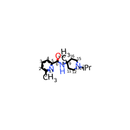 Cc1cccc(C(=O)NC2(C)CCN(C(C)C)CC2)n1